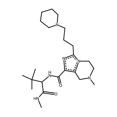 CNC(=O)C(NC(=O)c1nc(CCCN2CCCCC2)n2c1CN(C)CC2)C(C)(C)C